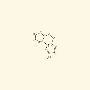 CCC1=CC2C(C=C1)CCC1CCCCC12